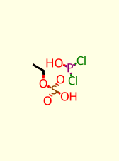 CCOS(=O)(=O)O.OP(Cl)Cl